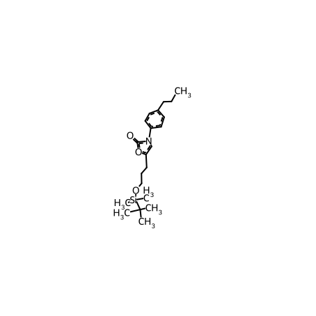 CCCc1ccc(-n2cc(CCCO[Si](C)(C)C(C)(C)C)oc2=O)cc1